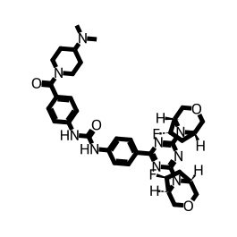 CN(C)C1CCN(C(=O)c2ccc(NC(=O)Nc3ccc(-c4nc(N5[C@@H]6COC[C@H]5[C@@H](F)C6)nc(N5[C@@H]6COC[C@H]5[C@@H](F)C6)n4)cc3)cc2)CC1